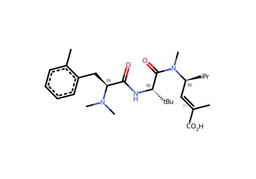 C/C(=C\[C@H](C(C)C)N(C)C(=O)[C@@H](NC(=O)[C@H](Cc1ccccc1C)N(C)C)C(C)(C)C)C(=O)O